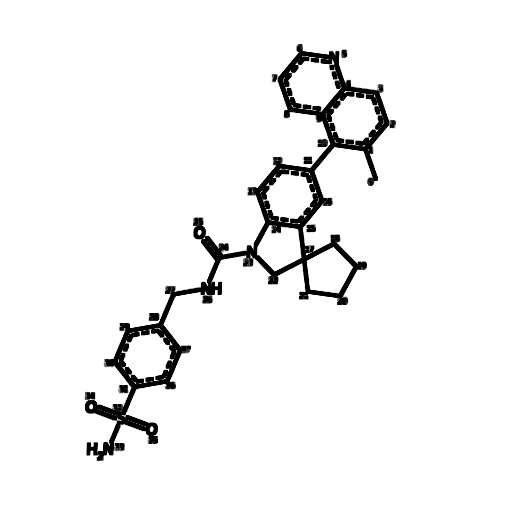 Cc1ccc2ncccc2c1-c1ccc2c(c1)C1(CCCC1)CN2C(=O)NCc1ccc(S(N)(=O)=O)cc1